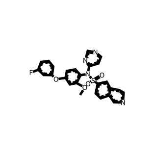 COc1cc(Oc2cccc(F)c2)ccc1N(c1ccncn1)S(=O)(=O)c1ccc2cnccc2c1